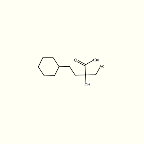 CC(=O)CC(O)(CCC1CCCCC1)C(=O)C(C)(C)C